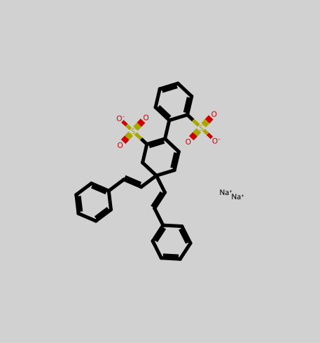 O=S(=O)([O-])C1=C(c2ccccc2S(=O)(=O)[O-])C=CC(C=Cc2ccccc2)(C=Cc2ccccc2)C1.[Na+].[Na+]